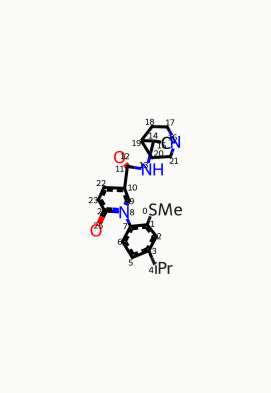 CSc1cc(C(C)C)ccc1-n1cc(C(=O)NC2CN3CCC2CC3)ccc1=O